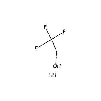 OCC(F)(F)F.[LiH]